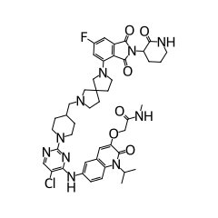 CNC(=O)COc1cc2cc(Nc3nc(N4CCC(CN5CCC6(CCN(c7cc(F)cc8c7C(=O)N(C7CCCNC7=O)C8=O)C6)C5)CC4)ncc3Cl)ccc2n(C(C)C)c1=O